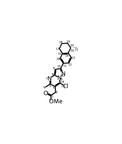 COC(=O)Cc1c(C)nc2cc(-c3ccc4c(c3)CCC[C@@H]4C)nn2c1Cl